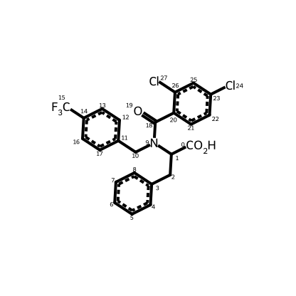 O=C(O)C(Cc1ccccc1)N(Cc1ccc(C(F)(F)F)cc1)C(=O)c1ccc(Cl)cc1Cl